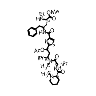 CCN[C@@H](C[C@H](Cc1ccccc1)NC(=O)c1csc([C@@H](C[C@H](C(C)C)N(C)C(=O)[C@@H](NC(=O)[C@H]2CCCCN2C)C(C)C)OC(C)=O)n1)C(=O)OC